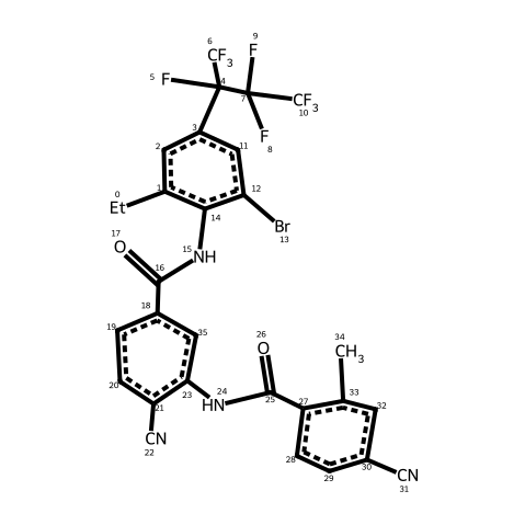 CCc1cc(C(F)(C(F)(F)F)C(F)(F)C(F)(F)F)cc(Br)c1NC(=O)c1ccc(C#N)c(NC(=O)c2ccc(C#N)cc2C)c1